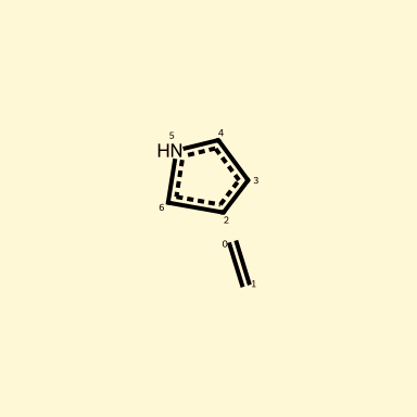 C=C.c1cc[nH]c1